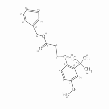 COc1ccc(OCCC(=O)OCc2ccccc2)c(C(C)(C)O)c1